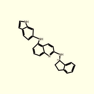 c1ccc2c(c1)CC[C@H]2Nc1ccc2c(Nc3ccc4cc[nH]c4c3)cccc2n1